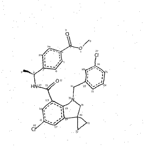 COC(=O)c1ccc([C@H](C)NC(=O)c2cc(Cl)cc3c2N(Cc2cccc(Cl)c2)CC32CC2)cc1